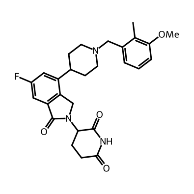 COc1cccc(CN2CCC(c3cc(F)cc4c3CN(C3CCC(=O)NC3=O)C4=O)CC2)c1C